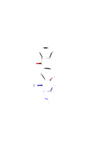 N=C1/C(=C/c2coc3ccccc3c2=O)C(=O)N=C2SC=NN12